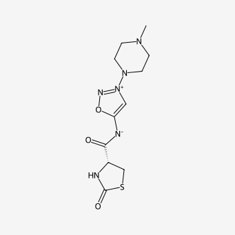 CN1CCN([n+]2cc([N-]C(=O)[C@@H]3CSC(=O)N3)on2)CC1